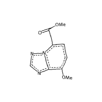 COC(=O)c1ccc(OC)c2ncnn12